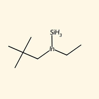 C[CH2][In]([SiH3])[CH2]C(C)(C)C